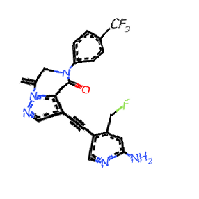 C=C1CN(c2ccc(C(F)(F)F)cc2)C(=O)c2c(C#Cc3cnc(N)cc3CF)cnn21